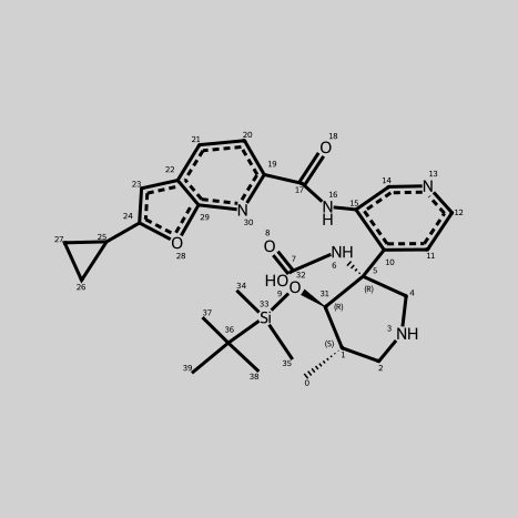 C[C@H]1CNC[C@](NC(=O)O)(c2ccncc2NC(=O)c2ccc3cc(C4CC4)oc3n2)[C@@H]1O[Si](C)(C)C(C)(C)C